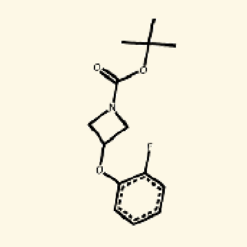 CC(C)(C)OC(=O)N1CC(Oc2ccccc2F)C1